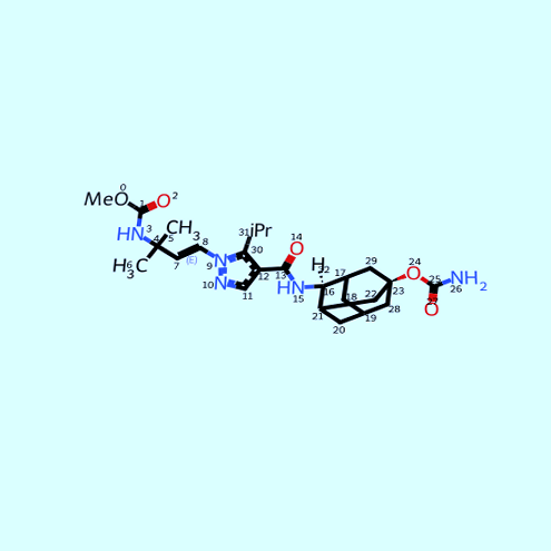 COC(=O)NC(C)(C)/C=C/n1ncc(C(=O)N[C@H]2C3CC4CC2C[C@@](OC(N)=O)(C4)C3)c1C(C)C